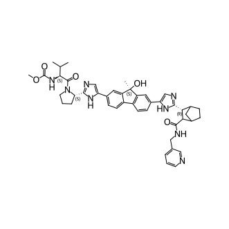 COC(=O)N[C@H](C(=O)N1CCC[C@H]1c1ncc(-c2ccc3c(c2)[C@@](C)(O)c2cc(-c4cnc([C@@H]5C6CCC(C6)C5C(=O)NCc5cccnc5)[nH]4)ccc2-3)[nH]1)C(C)C